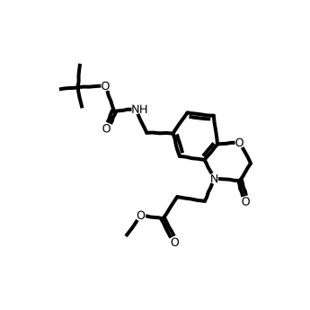 COC(=O)CCN1C(=O)COc2ccc(CNC(=O)OC(C)(C)C)cc21